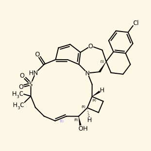 CC1(C)CC/C=C/[C@H](O)[C@@H]2CC[C@H]2CN2C[C@@]3(CCCc4cc(Cl)ccc43)COc3ccc(cc32)C(=O)NS1(=O)=O